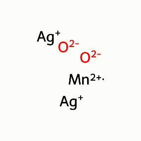 [Ag+].[Ag+].[Mn+2].[O-2].[O-2]